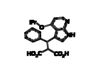 CC(C)Oc1ccnc2[nH]cc(C(c3ccccc3)C(C(=O)O)C(=O)O)c12